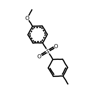 COc1ccc(S(=O)(=O)C2C=CC(C)=CC2)cc1